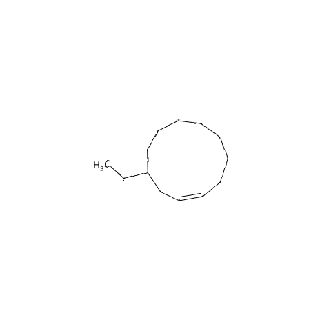 C[CH]C1C/C=C\CCCCCCC1